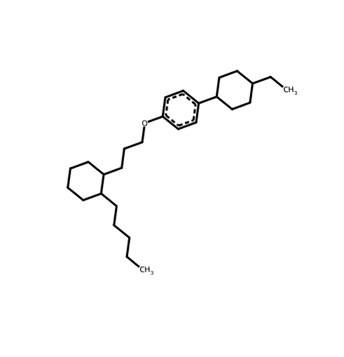 CCCCCC1CCCCC1CCCOc1ccc(C2CCC(CC)CC2)cc1